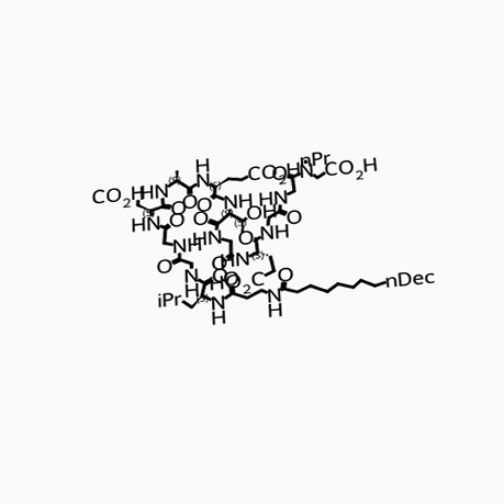 CCCCCCCCCCCCCCCCCC(=O)NCCC(=O)N[C@@H](CC(C)C)C(=O)NCC(=O)NCC(=O)N[C@@H](CC(=O)O)C(=O)N[C@@H](C)C(=O)N[C@@H](CCC(=O)O)C(=O)N[C@H](C(=O)NCC(=O)N[C@@H](CCC(=O)O)C(=O)NCC(=O)NCC(=O)N(CCC)CC(=O)O)[C@H](C)O